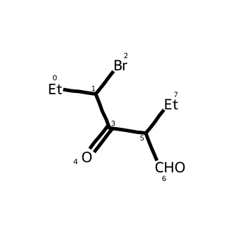 CCC(Br)C(=O)C(C=O)CC